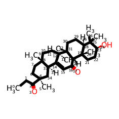 CCC(=O)[C@@]1(C)CC[C@]2(C)CC[C@]3(C)C(=CC(=O)[C@@H]4[C@@]5(C)CC[C@H](O)C(C)(C)[C@@H]5CC[C@]43C)[C@H]2C1